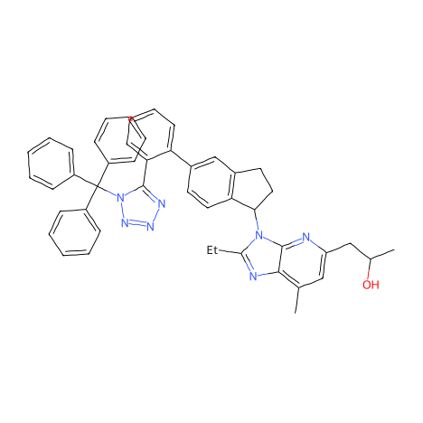 CCc1nc2c(C)cc(CC(C)O)nc2n1C1CCc2cc(-c3ccccc3-c3nnnn3C(c3ccccc3)(c3ccccc3)c3ccccc3)ccc21